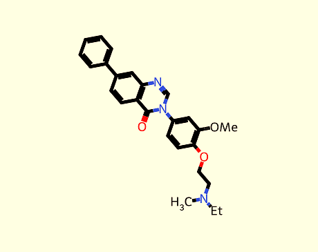 CCN(C)CCOc1ccc(-n2cnc3cc(-c4ccccc4)ccc3c2=O)cc1OC